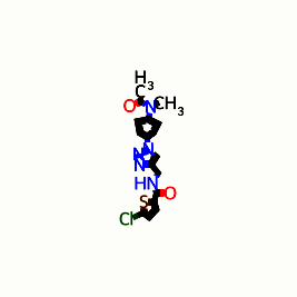 CC(=O)N(C)c1ccc(-n2cc(CNC(=O)c3ccc(Cl)s3)nn2)cc1